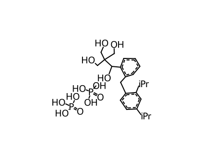 CC(C)c1ccc(Cc2ccccc2C(O)C(CO)(CO)CO)c(C(C)C)c1.O=P(O)(O)O.O=P(O)(O)O